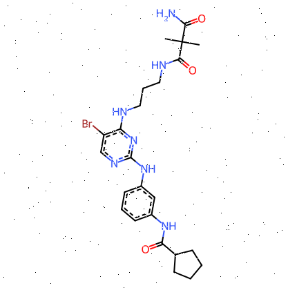 CC(C)(C(N)=O)C(=O)NCCCNc1nc(Nc2cccc(NC(=O)C3CCCC3)c2)ncc1Br